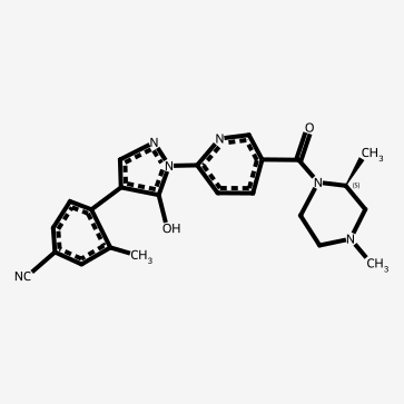 Cc1cc(C#N)ccc1-c1cnn(-c2ccc(C(=O)N3CCN(C)C[C@@H]3C)cn2)c1O